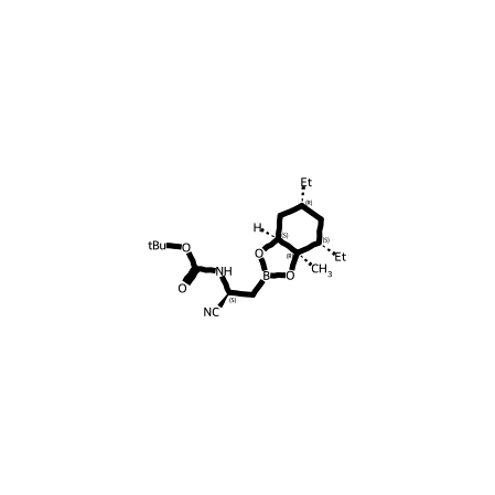 CC[C@@H]1C[C@H](CC)[C@@]2(C)OB(C[C@@H](C#N)NC(=O)OC(C)(C)C)O[C@H]2C1